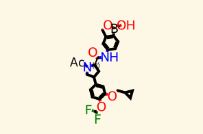 CC(=O)N1CC(c2ccc(OC(F)F)c(OCC3CC3)c2)C[C@@H]1C(=O)Nc1ccc2c(c1)COB2O